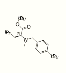 CC(C)C[C@@H](C(=O)OC(C)(C)C)N(C)Cc1ccc(C(C)(C)C)cc1